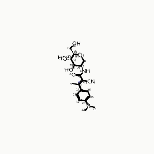 C/C(=C(/C#N)C(=O)N[C@H]1CO[C@H](CO)[C@@H](O)[C@@H]1O)c1ccc(N(C)C)cc1